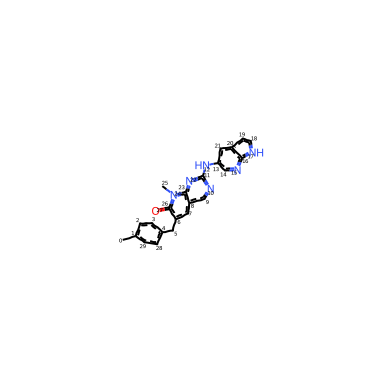 Cc1ccc(Cc2cc3cnc(Nc4cnc5[nH]ccc5c4)nc3n(C)c2=O)cc1